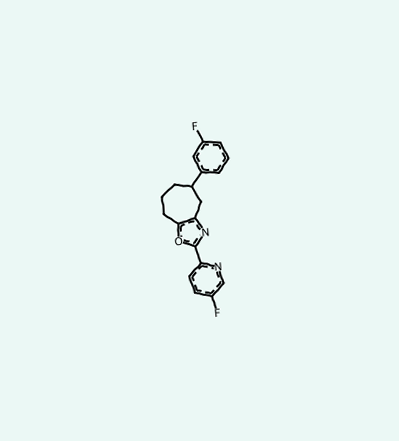 Fc1ccc(-c2nc3c(o2)CCCC(c2cccc(F)c2)C3)nc1